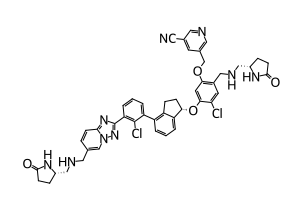 N#Cc1cncc(COc2cc(O[C@H]3CCc4c(-c5cccc(-c6nc7ccc(CNC[C@@H]8CCC(=O)N8)cn7n6)c5Cl)cccc43)c(Cl)cc2CNC[C@@H]2CCC(=O)N2)c1